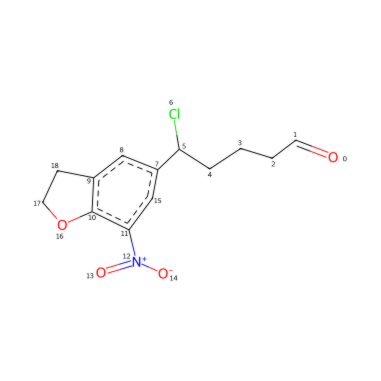 O=CCCCC(Cl)c1cc2c(c([N+](=O)[O-])c1)OCC2